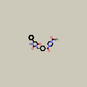 CC(C)C(=O)N1CCN(C(=O)[C@H]2CC[C@H](CN3C(=O)CC(c4ccccc4)NC3=O)CC2)CC1